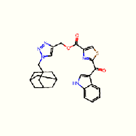 O=C(OCc1cn(CC23CC4CC(CC(C4)C2)C3)nn1)c1csc(C(=O)c2c[nH]c3ccccc23)n1